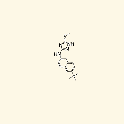 CSc1nc(Nc2ccc3cc(C(C)(C)C)ccc3c2)n[nH]1